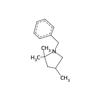 CC1CN(Cc2ccccc2)C(C)(C)C1